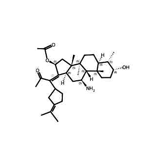 CC(=O)O[C@H]1C[C@@]2(C)[C@@H](C[C@H](N)[C@H]3[C@@]4(C)CC[C@@H](O)[C@@H](C)[C@@H]4CC[C@@]32C)/C1=C(/C(C)=O)C1CCC(=C(C)C)C1